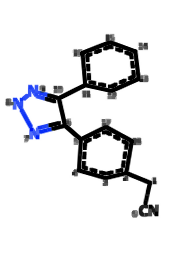 N#CCc1ccc(C2=N[N]N=C2c2ccccc2)cc1